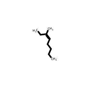 [CH2]CCCC=C(C)CC